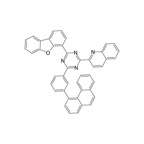 c1cc(-c2nc(-c3ccc4ccccc4n3)nc(-c3cccc4c3oc3ccccc34)n2)cc(-c2cccc3ccc4ccccc4c23)c1